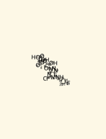 O=P(O)(O)CS(=O)(=O)C[C@H]1O[C@@H](n2nnc3c(NCc4ccc(F)cc4)nc(Cl)nc32)[C@H](O)[C@@H]1O